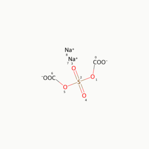 O=C([O-])OS(=O)(=O)OC(=O)[O-].[Na+].[Na+]